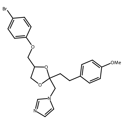 COc1ccc(CCC2(Cn3ccnc3)OCC(COc3ccc(Br)cc3)O2)cc1